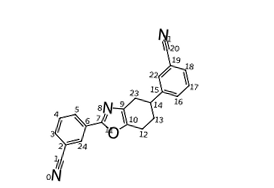 N#Cc1cccc(-c2nc3c(o2)CCC(c2cccc(C#N)c2)C3)c1